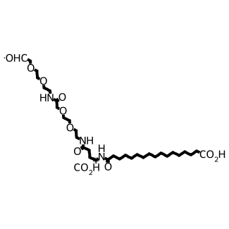 O=[C]COCCOCCNC(=O)COCCOCCNC(=O)CC[C@H](NC(=O)CCCCCCCCCCCCCCCC(=O)O)C(=O)O